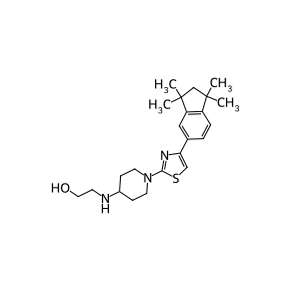 CC1(C)CC(C)(C)c2cc(-c3csc(N4CCC(NCCO)CC4)n3)ccc21